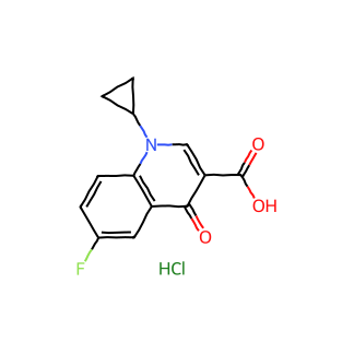 Cl.O=C(O)c1cn(C2CC2)c2ccc(F)cc2c1=O